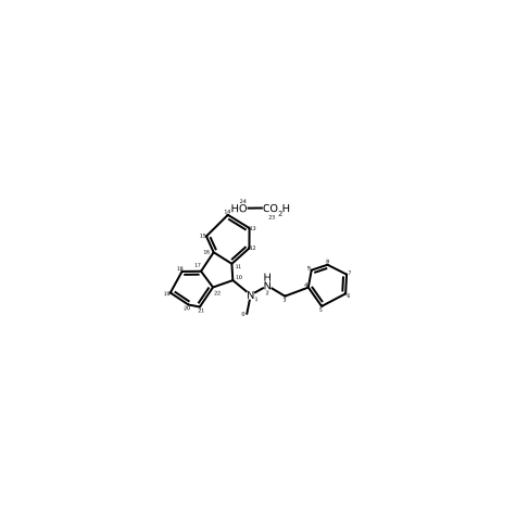 CN(NCc1ccccc1)C1c2ccccc2-c2ccccc21.O=C(O)O